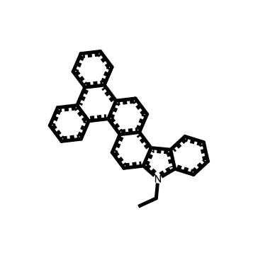 CCn1c2ccccc2c2c3ccc4c5ccccc5c5ccccc5c4c3ccc21